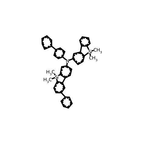 C[Si]1(C)c2ccccc2-c2cc(N(c3ccc(-c4ccccc4)cc3)c3ccc4c(c3)[Si](C)(C)c3ccc(-c5ccccc5)cc3-4)ccc21